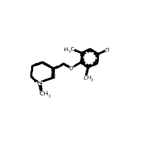 Cc1cc(Cl)cc(C)c1OCC1CCCN(C)C1